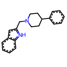 c1ccc(C2CCN(Cc3cc4ccccc4[nH]3)CC2)cc1